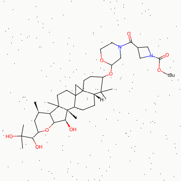 C[C@@H]1CC(C(O)C(C)(C)O)OC2C1C1(C)CCC34CC35CCC(OC3CN(C(=O)C6CN(C(=O)OC(C)(C)C)C6)CCO3)C(C)(C)[C@@H]5CCC4[C@]1(C)[C@H]2O